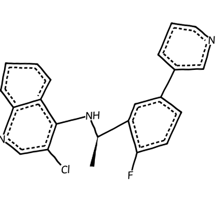 C[C@@H](Nc1c(Cl)cnc2ccccc12)c1cc(-c2cccnc2)ccc1F